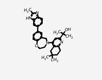 Cc1nc2ccc(-c3ccc4c(c3)CN(c3cc(C(C)(C)O)nc5c3CC(C)(C)CC5)CCO4)cc2[nH]1